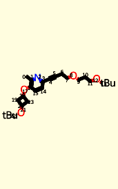 Cc1nc(C#CCCOCCCOC(C)(C)C)ccc1OC1CC(OC(C)(C)C)C1